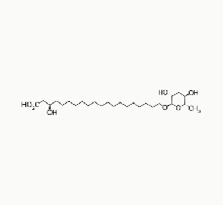 C[C@@H]1O[C@@H](OCCCCCCCCCCCCCCCCC[C@@H](O)CC(=O)O)[C@H](O)C[C@H]1O